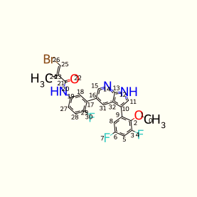 COc1c(F)cc(F)cc1-c1c[nH]c2ncc(-c3cc(NC(=O)/C(C)=C/Br)ccc3F)cc12